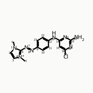 Cn1cc[n+](C)c1/N=N/c1ccc(Nc2cc(Cl)nc(N)n2)cc1